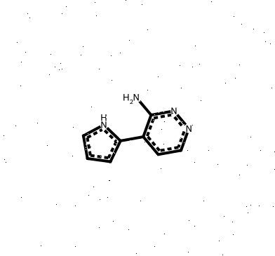 Nc1nnccc1-c1ccc[nH]1